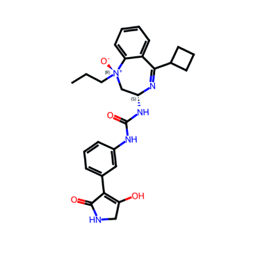 CCC[N@@+]1([O-])C[C@@H](NC(=O)Nc2cccc(C3=C(O)CNC3=O)c2)N=C(C2CCC2)c2ccccc21